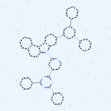 c1ccc(-c2cc(-c3ccccc3)cc(-c3ccc4c5c6ccccc6ccc5n(-c5cc(-c6nc(-c7ccccc7)nc(-c7ccccc7)n6)ccn5)c4c3)c2)cc1